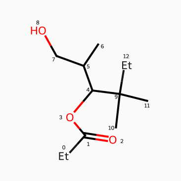 CCC(=O)OC(C(C)CO)C(C)(C)CC